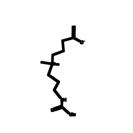 C=C([O-])CCC[N+](C)(C)CCCNC(=O)C(C)(C)C